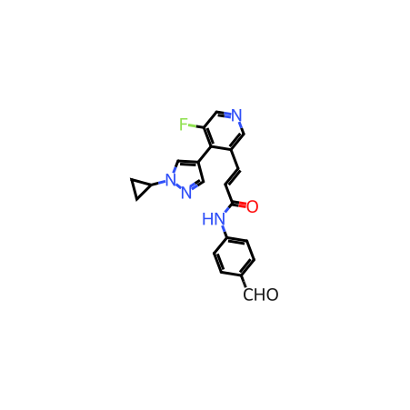 O=Cc1ccc(NC(=O)/C=C/c2cncc(F)c2-c2cnn(C3CC3)c2)cc1